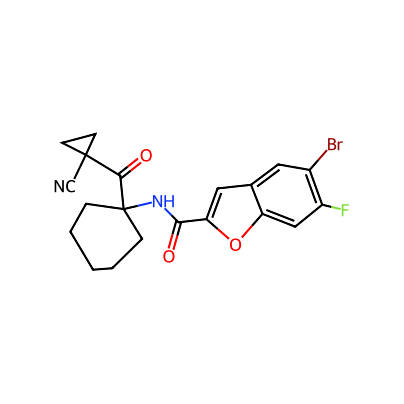 N#CC1(C(=O)C2(NC(=O)c3cc4cc(Br)c(F)cc4o3)CCCCC2)CC1